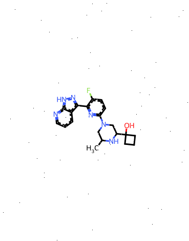 CC1CN(c2ccc(F)c(-c3n[nH]c4ncccc34)n2)CC(C2(O)CCC2)N1